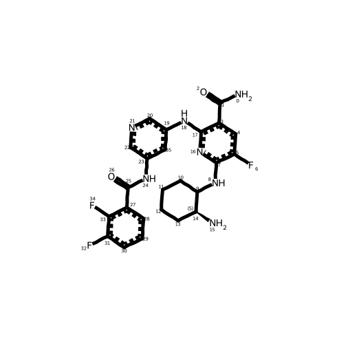 NC(=O)c1cc(F)c(NC2CCCC[C@@H]2N)nc1Nc1cncc(NC(=O)c2cccc(F)c2F)c1